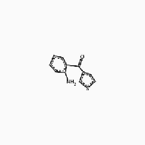 Nc1ccccc1C(=O)c1ccsc1